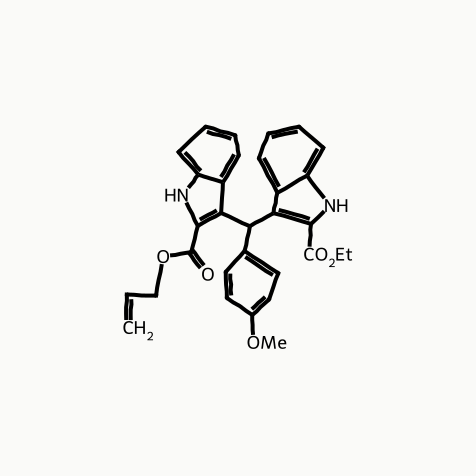 C=CCOC(=O)c1[nH]c2ccccc2c1C(c1ccc(OC)cc1)c1c(C(=O)OCC)[nH]c2ccccc12